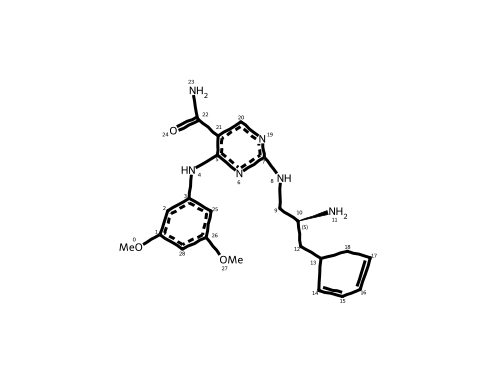 COc1cc(Nc2nc(NC[C@@H](N)CC3C=CC=CC3)ncc2C(N)=O)cc(OC)c1